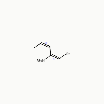 C/C=C\C(=C/C(C)C)NC